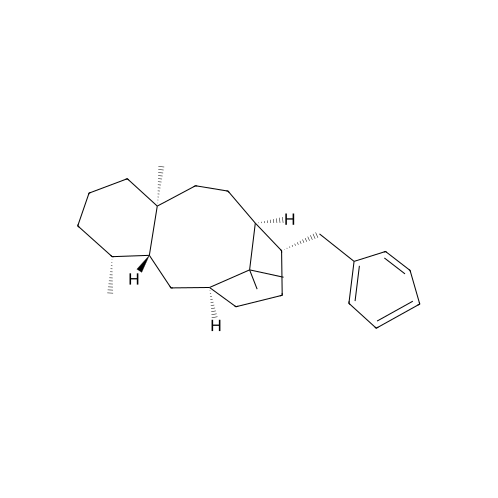 C[C@@H]1CCC[C@@]2(C)CC[C@H]3[C@H](Cc4ccccc4)CC[C@@H](C[C@H]12)C3(C)C